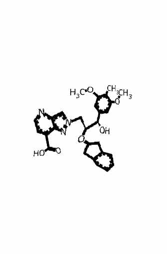 COc1cc([C@@H](O)[C@H](Cn2cc3nccc(C(=O)O)c3n2)OC2Cc3ccccc3C2)cc(OC)c1C